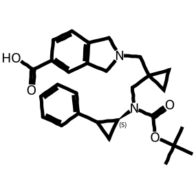 CC(C)(C)OC(=O)N(CC1(CN2Cc3ccc(C(=O)O)cc3C2)CC1)[C@H]1CC1c1ccccc1